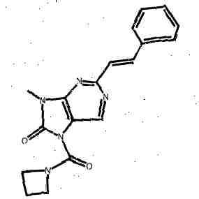 Cn1c(=O)n(C(=O)N2CCC2)c2cnc(C=Cc3ccccc3)nc21